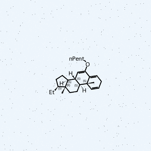 CCCCCOC1=C[C@H]2[C@@H]3CC[C@H](CC)[C@@]3(C)CC[C@@H]2[C@@]2(C)C=CCC=C12